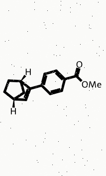 COC(=O)c1ccc(C2=C[C@@H]3CC[C@H]2C3)cc1